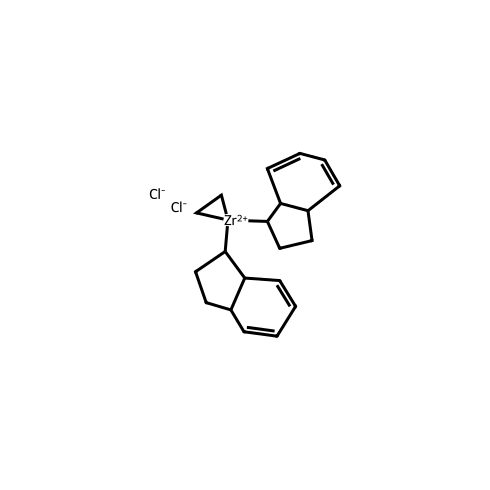 C1=CC2CC[CH]([Zr+2]3([CH]4CCC5C=CC=CC54)[CH2][CH2]3)C2C=C1.[Cl-].[Cl-]